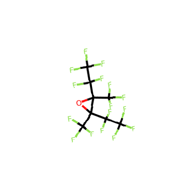 FC(F)(F)C(F)(F)C1(C(F)(F)F)OC1(C(F)(F)F)C(F)(F)C(F)(F)F